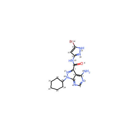 Nc1ncnc2c1c(C(=O)Nc1cc(Br)[nH]n1)nn2C1CCCCC1